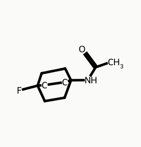 CC(=O)NC12CCC(F)(CC1)CC2